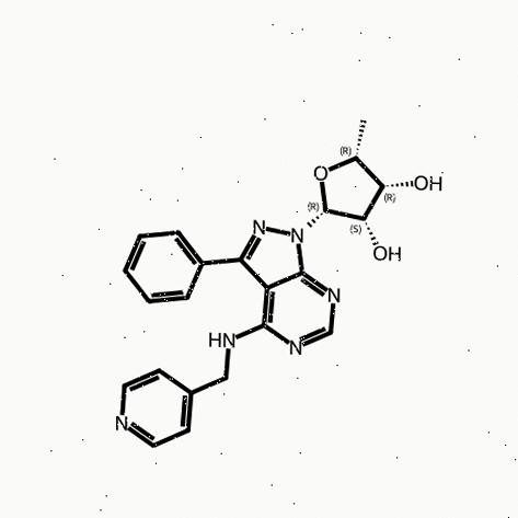 C[C@H]1O[C@@H](n2nc(-c3ccccc3)c3c(NCc4ccncc4)ncnc32)[C@@H](O)[C@H]1O